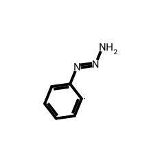 NN=Nc1[c]cccc1